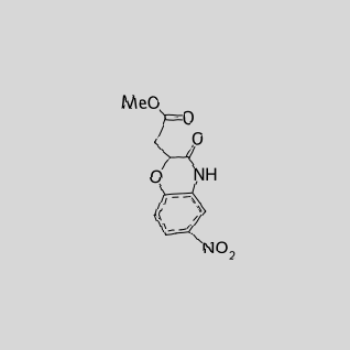 COC(=O)CC1Oc2ccc([N+](=O)[O-])cc2NC1=O